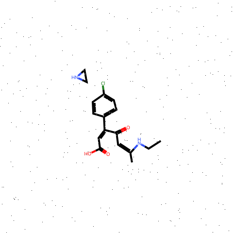 C1CN1.CCNC(C)=CC(=O)C(=CC(=O)O)c1ccc(Cl)cc1